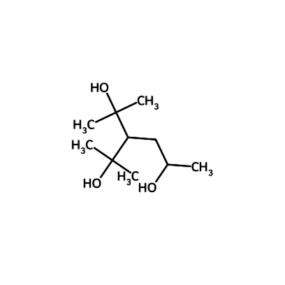 CC(O)CC(C(C)(C)O)C(C)(C)O